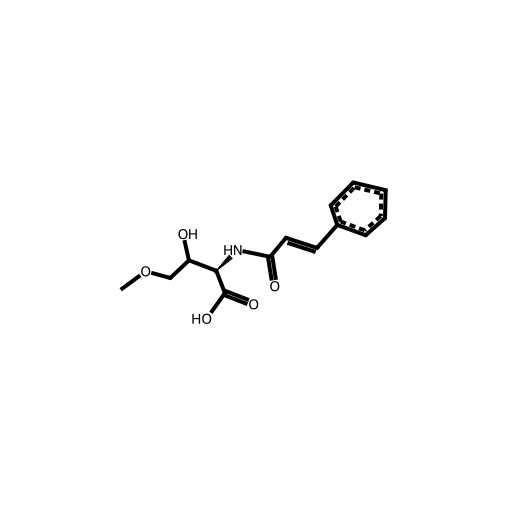 COCC(O)[C@@H](NC(=O)/C=C/c1ccccc1)C(=O)O